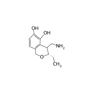 CC[C@@H]1OCc2ccc(O)c(O)c2C1CN